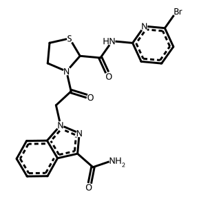 NC(=O)c1nn(CC(=O)N2CCSC2C(=O)Nc2cccc(Br)n2)c2ccccc12